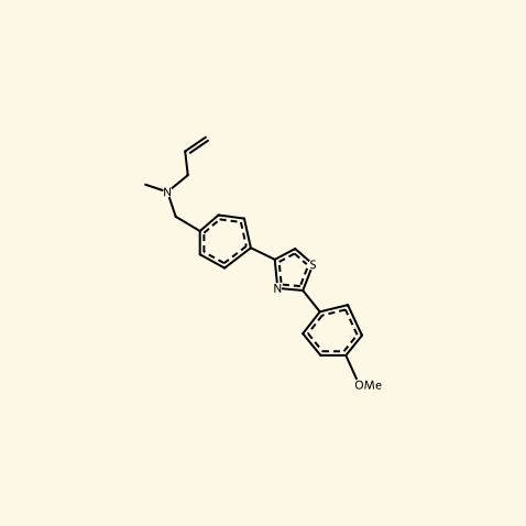 C=CCN(C)Cc1ccc(-c2csc(-c3ccc(OC)cc3)n2)cc1